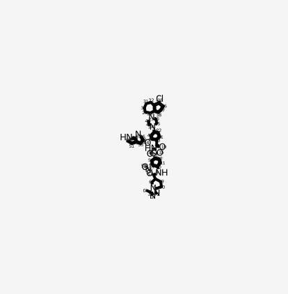 Cc1nnc2n1CC(CNc1ccc(S(=O)(=O)NC(=O)c3ccc(N4CCN(C5CCCCc6c(Cl)cccc65)CC4)cc3Oc3cnc4[nH]ccc4c3)cc1[N+](=O)[O-])CC2